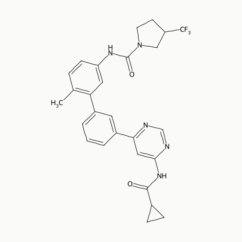 Cc1ccc(NC(=O)N2CCC(C(F)(F)F)C2)cc1-c1cccc(-c2cc(NC(=O)C3CC3)ncn2)c1